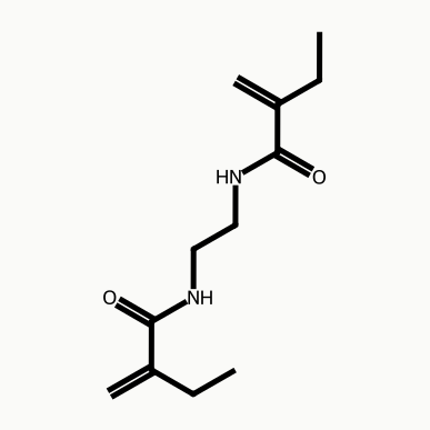 C=C(CC)C(=O)NCCNC(=O)C(=C)CC